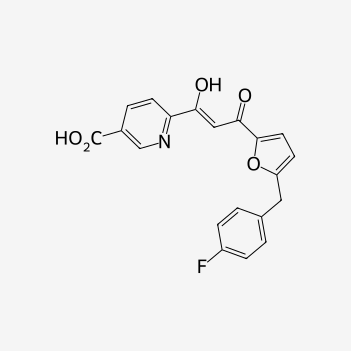 O=C(O)c1ccc(C(O)=CC(=O)c2ccc(Cc3ccc(F)cc3)o2)nc1